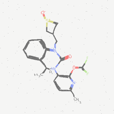 Cc1ccc(NC(=O)N(CC2C[S+]([O-])C2)c2ccccc2C(C)C)c(OC(F)F)n1